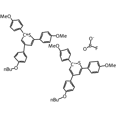 CCCCOc1ccc(-c2cc(-c3ccc(OC)cc3)s[c+](-c3ccc(OC)cc3)c2)cc1.CCCCOc1ccc(-c2cc(-c3ccc(OC)cc3)s[c+](-c3ccc(OC)cc3)c2)cc1.[O-]B([O-])F